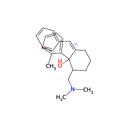 Cc1ccccc1C1(O)/C(=C\c2ccccc2)CCCC1CN(C)C